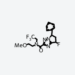 COCCN(CC(F)(F)F)C(=O)c1nc2n(n1)C(c1ccccc1)CC2F